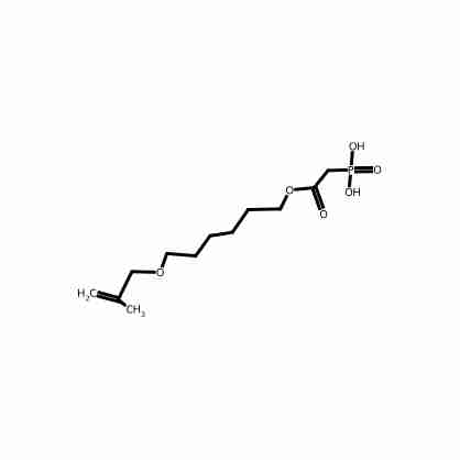 C=C(C)COCCCCCCOC(=O)CP(=O)(O)O